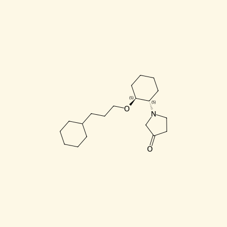 O=C1CCN([C@H]2CCCC[C@@H]2OCCCC2CCCCC2)C1